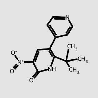 CC(C)(C)c1[nH]c(=O)c([N+](=O)[O-])cc1-c1ccncc1